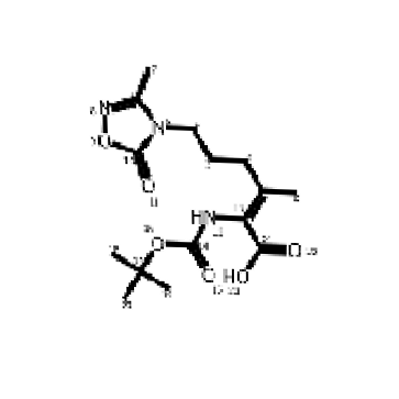 CC(CCCn1c(C)noc1=O)=C(NC(=O)OC(C)(C)C)C(=O)O